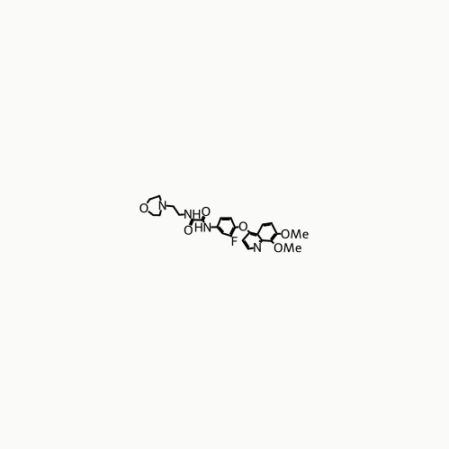 COc1ccc2c(Oc3ccc(NC(=O)C(=O)NCCN4CCOCC4)cc3F)ccnc2c1OC